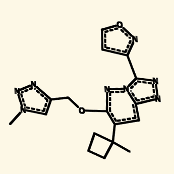 Cn1cc(COc2nn3c(-c4ccon4)nnc3cc2C2(C)CCC2)nn1